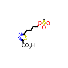 CS(=O)(=O)OCCCCc1nnc(C(=O)O)s1